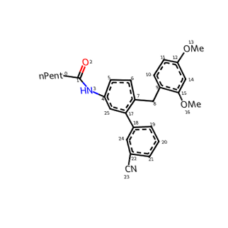 CCCCCC(=O)Nc1ccc(Cc2ccc(OC)cc2OC)c(-c2cccc(C#N)c2)c1